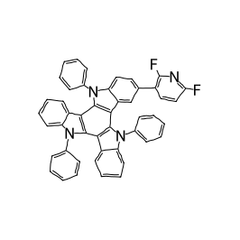 Fc1ccc(-c2ccc3c(c2)c2c4c(c5ccccc5n4-c4ccccc4)c4c(c5ccccc5n4-c4ccccc4)c2n3-c2ccccc2)c(F)n1